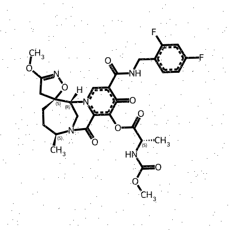 COC(=O)N[C@@H](C)C(=O)Oc1c2n(cc(C(=O)NCc3ccc(F)cc3F)c1=O)[C@@H]1CN(C2=O)[C@@H](C)CC[C@]12CC(OC)=NO2